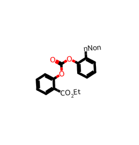 CCCCCCCCCc1ccccc1OC(=O)Oc1ccccc1C(=O)OCC